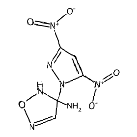 NC1(n2nc([N+](=O)[O-])cc2[N+](=O)[O-])C=NON1